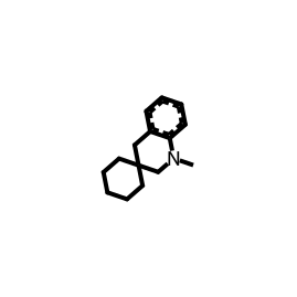 CN1CC2(CCCCC2)Cc2ccccc21